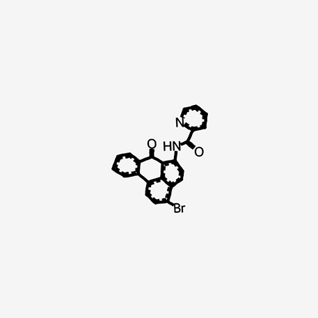 O=C(Nc1ccc2c(Br)ccc3c2c1C(=O)c1ccccc1-3)c1ccccn1